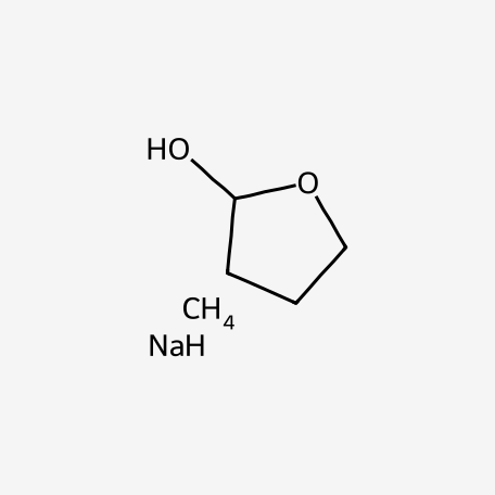 C.OC1CCCO1.[NaH]